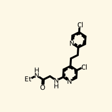 CCNC(=O)CNc1cc(CCc2ccc(Cl)cn2)c(Cl)cn1